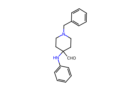 O=CC1(Nc2ccccc2)CCN(Cc2ccccc2)CC1